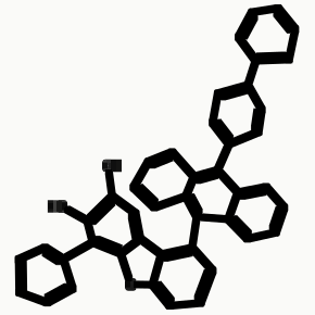 Oc1cc2c(oc3cccc(-c4c5ccccc5c(-c5ccc(-c6ccccc6)cc5)c5ccccc45)c32)c(-c2ccccc2)c1O